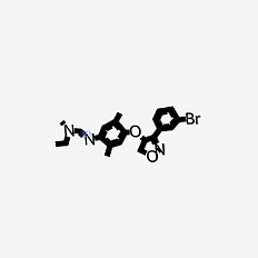 CCN(C)/C=N/c1cc(C)c(OC2CON=C2c2cccc(Br)c2)cc1C